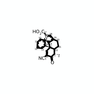 C[C@@H]1C(=O)C(C#N)=C[C@]2(c3ccccc3)c3nn(C(=O)O)cc3CCC12